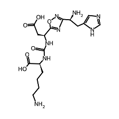 NCCCC[C@H](NC(=O)N[C@@H](CC(=O)O)c1nc([C@@H](N)Cc2cnc[nH]2)no1)C(=O)O